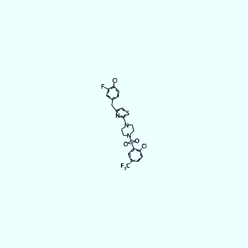 O=S(=O)(c1cc(C(F)(F)F)ccc1Cl)N1CCN(c2nc(Cc3ccc(Cl)c(F)c3)cs2)CC1